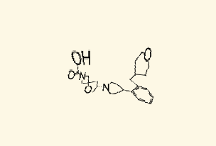 O=C(O)N1CC2(C[C@H](N3CCC(c4ccccc4CC4CCOCC4)CC3)CO2)C1